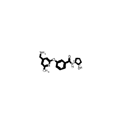 Cc1cc(CN)cc(Oc2cccc(C(=O)N[C@@H]3CCC[C@@H]3O)c2)n1